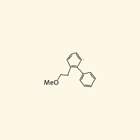 COCCc1ccc[c]c1-c1ccccc1